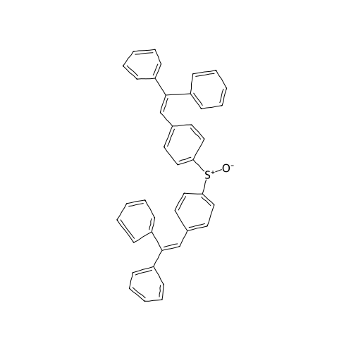 [O-][S+](c1ccc(C=C(c2ccccc2)c2ccccc2)cc1)c1ccc(C=C(c2ccccc2)c2ccccc2)cc1